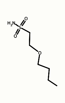 CCCCOCCS(N)(=O)=O